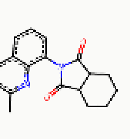 Cc1ccc2cccc(N3C(=O)C4CCCCC4C3=O)c2n1